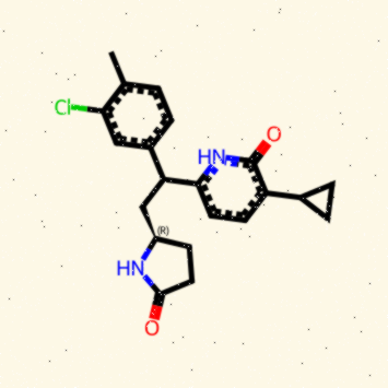 Cc1ccc(C(C[C@H]2CCC(=O)N2)c2ccc(C3CC3)c(=O)[nH]2)cc1Cl